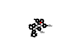 Cc1ccc2sc3c(c2c1)B1c2ccc4c5c2N(c2cc6c(cc2C5(C)CCC4(C)C)C(C)(C)CCC6(C)C)c2cc(C(C)(C)C)cc(c21)N3c1ccc(C(C)(C)C)cc1-c1ccccc1